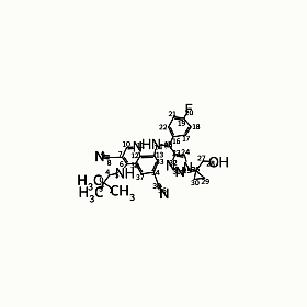 CC(C)(C)CNc1c(C#N)cnc2c(N[C@@H](c3ccc(F)cc3)c3cn(C4(CO)CC4)nn3)cc(C#N)cc12